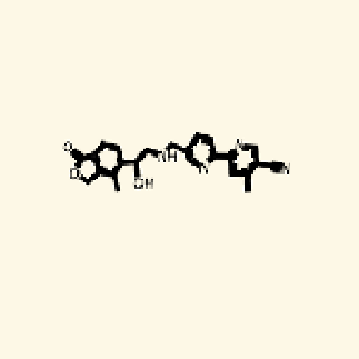 Cc1cc(-c2ccc(CNCC(O)c3ccc4c(c3C)COC4=O)cn2)ncc1C#N